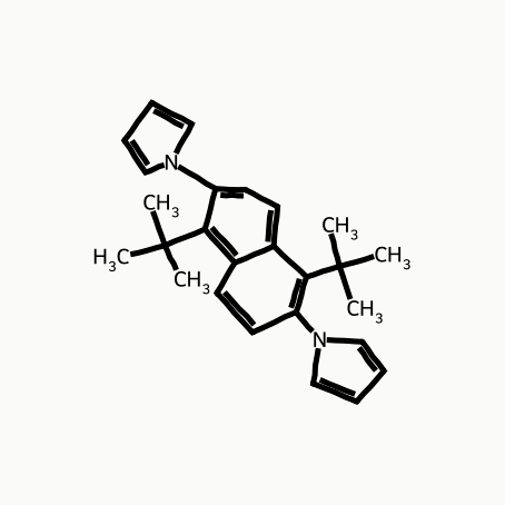 CC(C)(C)c1c(-n2cccc2)ccc2c(C(C)(C)C)c(-n3cccc3)ccc12